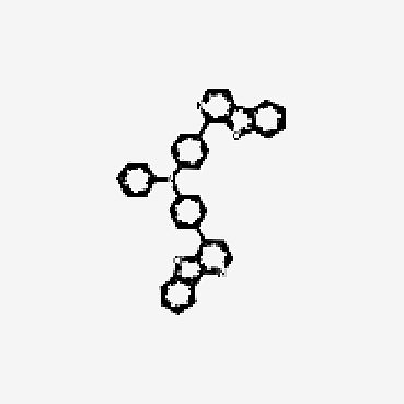 c1ccc(N(c2ccc(-c3nccc4c3oc3ccccc34)cc2)c2ccc(-c3ccnc4c3oc3ccccc34)cc2)cc1